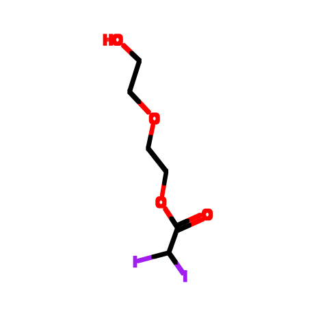 O=C(OCCOCCO)C(I)I